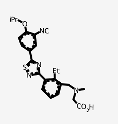 [C-]#[N+]c1cc(-c2nc(-c3cccc(CN(C)CC(=O)O)c3CC)ns2)ccc1OC(C)C